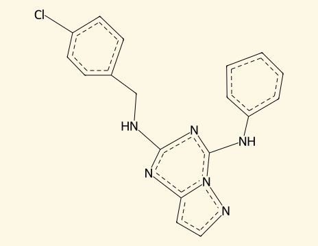 Clc1ccc(CNc2nc(Nc3ccccc3)n3nccc3n2)cc1